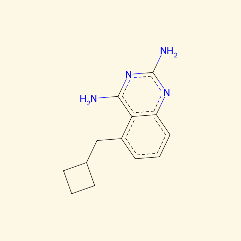 Nc1nc(N)c2c(CC3CCC3)cccc2n1